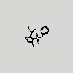 COC(=O)c1[nH]nc(C)c1S(=O)(=O)Nc1ccccn1